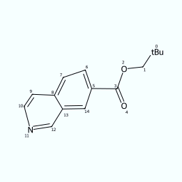 CC(C)(C)COC(=O)c1ccc2ccncc2c1